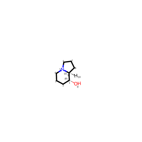 O[C@@H]1CCCN2CCC[C@@H]12